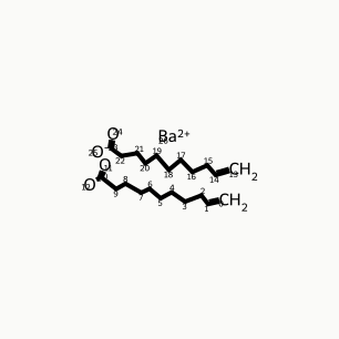 C=CCCCCCCCCC(=O)[O-].C=CCCCCCCCCC(=O)[O-].[Ba+2]